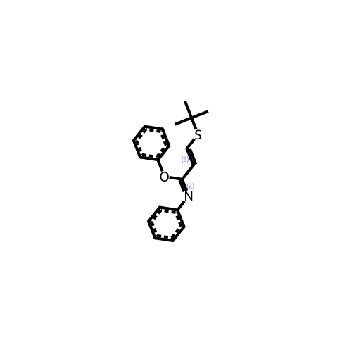 CC(C)(C)S/C=C/C(=N/c1ccccc1)Oc1ccccc1